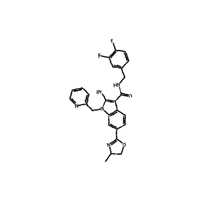 CC1COC(c2ccc3c(C(=O)NCc4ccc(F)c(F)c4)c(C(C)C)n(Cc4ccccn4)c3c2)=N1